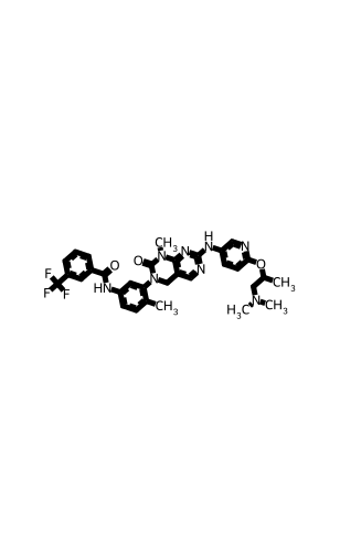 Cc1ccc(NC(=O)c2cccc(C(F)(F)F)c2)cc1N1Cc2cnc(Nc3ccc(OC(C)CN(C)C)nc3)nc2N(C)C1=O